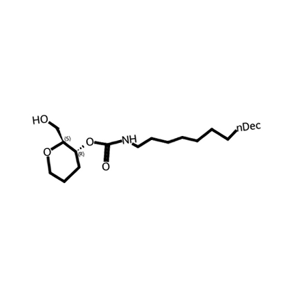 CCCCCCCCCCCCCCCCCNC(=O)O[C@@H]1CCCO[C@H]1CO